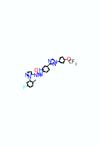 Cc1ccc(F)cc1-n1nccc1NC(=O)Nc1ccc(-c2ncn(-c3ccc(OC(F)(F)F)cc3)n2)cc1